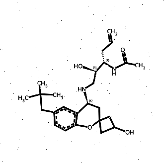 C=CC[C@H](NC(C)=O)[C@H](O)CN[C@H]1CC2(CC(O)C2)Oc2ccc(CC(C)(C)C)cc21